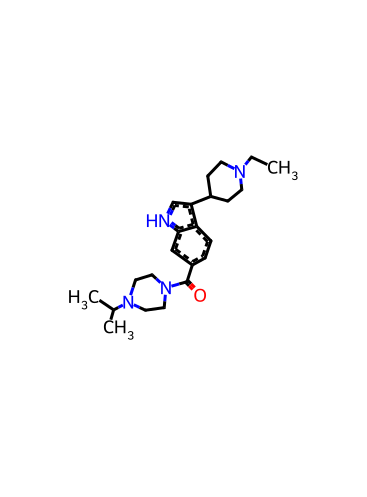 CCN1CCC(c2c[nH]c3cc(C(=O)N4CCN(C(C)C)CC4)ccc23)CC1